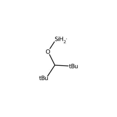 CC(C)(C)C(O[SiH2])C(C)(C)C